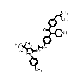 Cc1ccc(-n2nc(C(C)(C)C)cc2NC(=O)Nc2ccc(C(C(=O)c3ccc(CC(C)C)cc3)C3CCNCC3)cc2)cc1